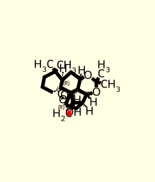 C=C1C(=O)[C@@]23[C@@H]4OC(C)(C)O[C@@H]2C[C@@H]2C(C)(C)CCC[C@]25CO[C@](O)(C[C@@H]14)[C@@H]53